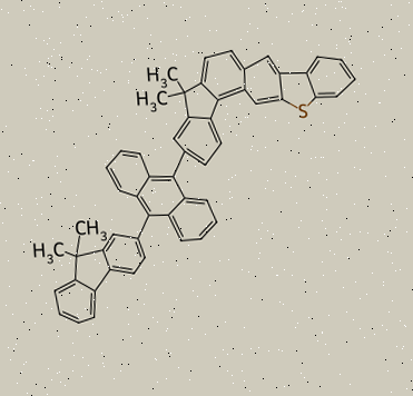 CC1(C)c2ccccc2-c2ccc(-c3c4ccccc4c(-c4ccc5c(c4)C(C)(C)c4ccc6cc7c(cc6c4-5)sc4ccccc47)c4ccccc34)cc21